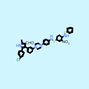 Cc1[nH]c(-c2ccc(Cl)cc2)c(C2=CCCC(N3CCN(c4ccc(NSC5C=C([N+](=O)[O-])C(NSc6ccccc6)CC5)cc4)CC3)=C2)c1C=O